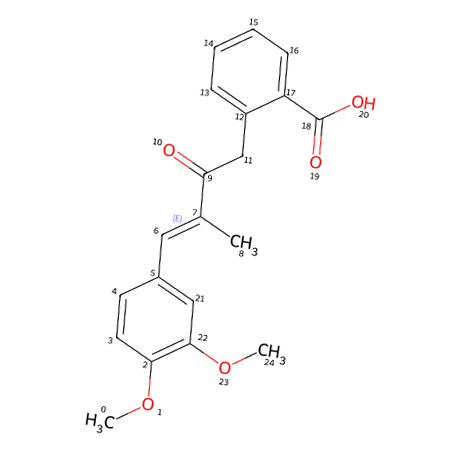 COc1ccc(/C=C(\C)C(=O)Cc2ccccc2C(=O)O)cc1OC